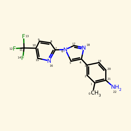 Cc1cc(-c2cn(-c3ccc(C(F)(F)F)cn3)cn2)ccc1N